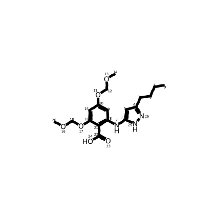 CCCCc1cc(Nc2cc(OCOC)cc(OCOC)c2C(=O)O)[nH]n1